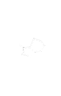 O=c1[nH]sc2ncccc12